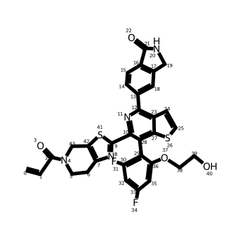 C=CC(=O)N1CCc2nc(-c3nc(-c4ccc5c(c4)CNC5=O)c4ccsc4c3-c3c(F)cc(F)cc3OCCO)sc2C1